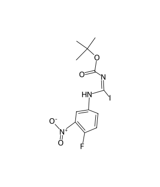 CC(C)(C)OC(=O)/N=C(/I)Nc1ccc(F)c([N+](=O)[O-])c1